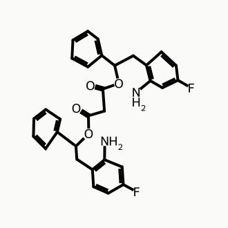 Nc1cc(F)ccc1CC(OC(=O)CC(=O)OC(Cc1ccc(F)cc1N)c1ccccc1)c1ccccc1